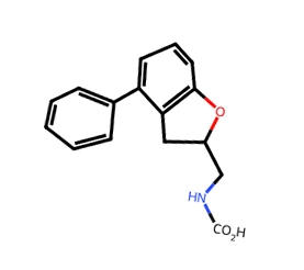 O=C(O)NCC1Cc2c(cccc2-c2ccccc2)O1